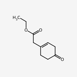 CCOC(=O)CC1=CCC(=O)CC1